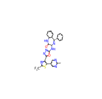 Cc1ncc(-c2sc(C(F)(F)F)nc2-c2nnc(NC3N=C(c4ccccc4)c4ccccc4NC3=O)o2)cn1